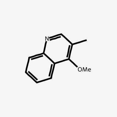 COc1c(C)cnc2ccccc12